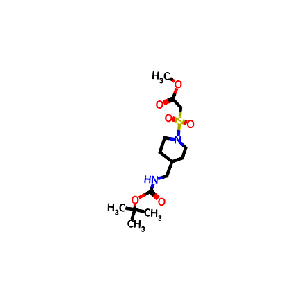 COC(=O)CS(=O)(=O)N1CCC(CNC(=O)OC(C)(C)C)CC1